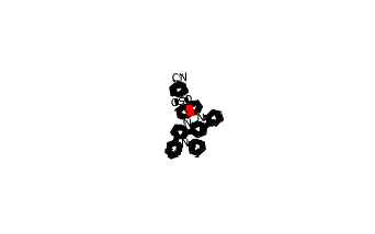 N#Cc1ccc(S(=O)(=O)c2ccc(-n3c4ccc5c6ccccc6n(-c6ccccc6)c5c4c4ccc5c6ccccc6n(-c6ccccc6)c5c43)cc2)cc1